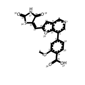 COc1cc(-c2cncc3cc(C=C4SC(=O)NC4=O)oc23)ccc1C(=O)O